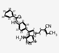 CC=C(C#N)CCn1cc(-c2ccc(NC(=O)c3ccccc3)cc2)c2c(N)ncnc21